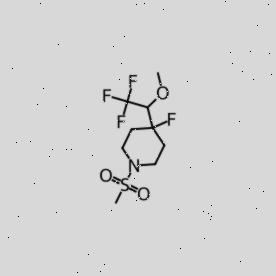 COC(C(F)(F)F)C1(F)CCN(S(C)(=O)=O)CC1